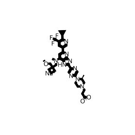 COCC1(CN(C)c2cc(-c3cnc(C4CC4)c(C(F)(F)F)c3)nc3nc(-c4cnc(N5CCN(CCC(=O)[O-])C[C@@H]5C)cn4)[nH]c23)CCC1.[Na+]